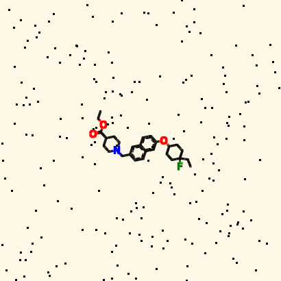 CCOC(=O)C1CCN(Cc2ccc3cc(OC4CCC(F)(CC)CC4)ccc3c2)CC1